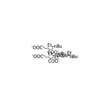 CCCCC(CC)CC(CCCC(=O)[O-])C(=O)[O-].CCCCC(CC)CC(CCCC(=O)[O-])C(=O)[O-].CCCCC(CC)[CH2][Sn+4][CH2]C(CC)CCCC